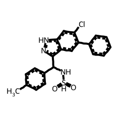 Cc1ccc(C(N[SH](=O)=O)c2n[nH]c3cc(Cl)c(-c4ccccc4)cc23)cc1